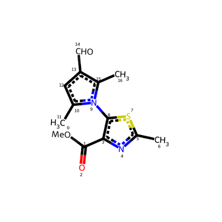 COC(=O)c1nc(C)sc1-n1c(C)cc(C=O)c1C